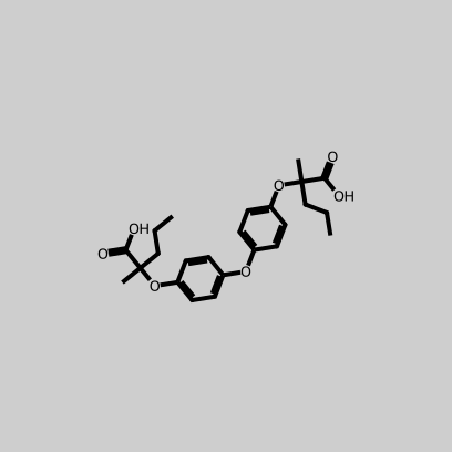 CCCC(C)(Oc1ccc(Oc2ccc(OC(C)(CCC)C(=O)O)cc2)cc1)C(=O)O